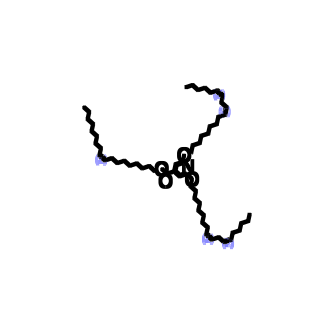 CCCCC/C=C\C/C=C\CCCCCCCCOc1cc(C(=O)OCCCCCCCC/C=C\CCCCCCCC)cc(OCCCCCCCC/C=C\C/C=C\CCCCC)n1